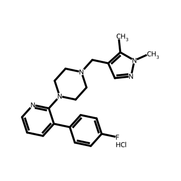 Cc1c(CN2CCN(c3ncccc3-c3ccc(F)cc3)CC2)cnn1C.Cl